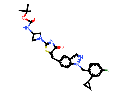 CC(C)(C)OC(=O)NC1CN(C2=NC(=O)C(=Cc3ccc4c(cnn4Cc4ccc(Cl)cc4C4CC4)c3)S2)C1